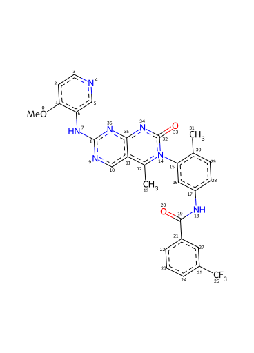 COc1ccncc1Nc1ncc2c(C)n(-c3cc(NC(=O)c4cccc(C(F)(F)F)c4)ccc3C)c(=O)nc2n1